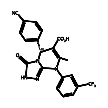 CC1=C(C(=O)O)[C@@H](c2ccc(C#N)cc2)n2c(n[nH]c2=O)N1c1cccc(C(F)(F)F)c1